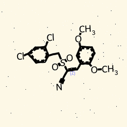 COc1ccc(OC)c(/C=C(/C#N)S(=O)(=O)Cc2ccc(Cl)cc2Cl)c1